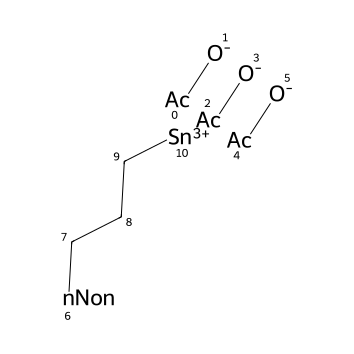 CC(=O)[O-].CC(=O)[O-].CC(=O)[O-].CCCCCCCCCCC[CH2][Sn+3]